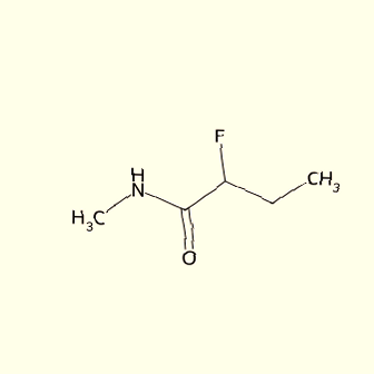 CCC(F)C(=O)NC